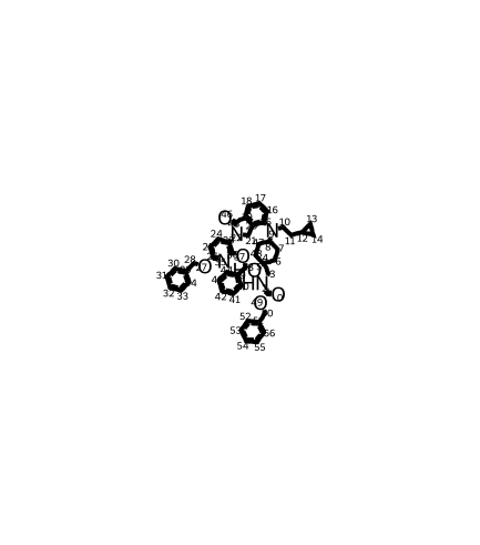 O=C(NCC1(O)CCC(N(CCC2CC2)c2cccc3c2CN(c2ccc(OCc4ccccc4)nc2OCc2ccccc2)C3=O)CC1)OCc1ccccc1